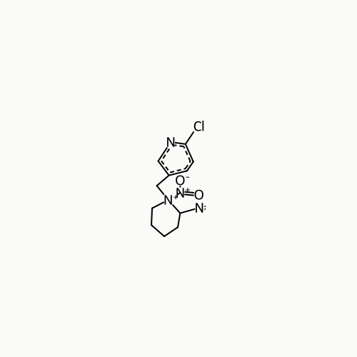 [N]C1CCCC[N+]1(Cc1ccc(Cl)nc1)[N+](=O)[O-]